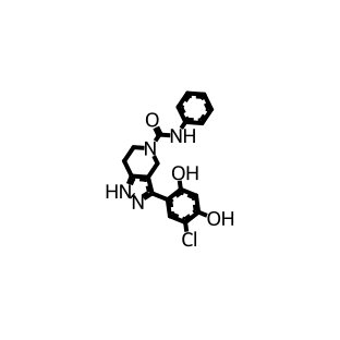 O=C(Nc1ccccc1)N1CCc2[nH]nc(-c3cc(Cl)c(O)cc3O)c2C1